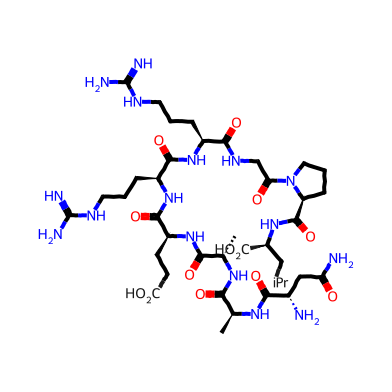 CC(C)C[C@H](NC(=O)[C@@H]1CCCN1C(=O)CNC(=O)[C@H](CCCNC(=N)N)NC(=O)[C@H](CCCNC(=N)N)NC(=O)[C@H](CCC(=O)O)NC(=O)[C@H](C)NC(=O)[C@H](C)NC(=O)[C@@H](N)CC(N)=O)C(=O)O